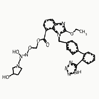 CCOc1nc2cccc(C(=O)OCO/N=[N+](\O)N3CCC(O)C3)c2n1Cc1ccc(-c2ccccc2-c2nnn[nH]2)cc1